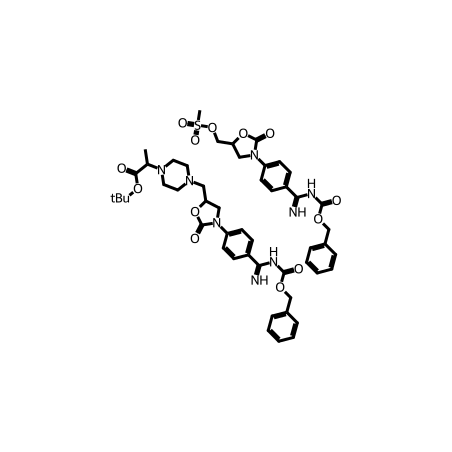 CC(C(=O)OC(C)(C)C)N1CCN(CC2CN(c3ccc(C(=N)NC(=O)OCc4ccccc4)cc3)C(=O)O2)CC1.CS(=O)(=O)OCC1CN(c2ccc(C(=N)NC(=O)OCc3ccccc3)cc2)C(=O)O1